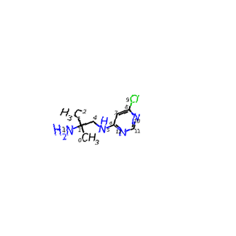 CC(C)(N)CNc1cc(Cl)ncn1